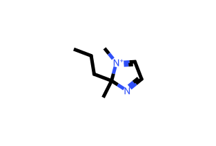 CCCC1(C)N=CC=[N+]1C